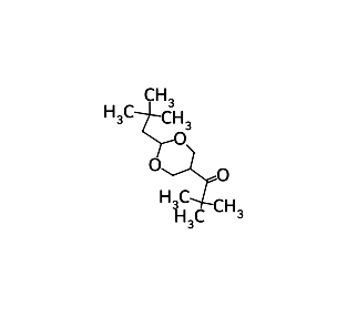 CC(C)(C)CC1OCC(C(=O)C(C)(C)C)CO1